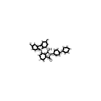 Cc1ccc2c(c1)c1cc(C)ccc1n2-c1cccc2c1C(O)N(c1ccc(-c3ccccc3)cc1)C2=O